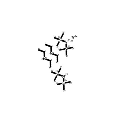 CC[N-]CC.CC[N-]CC.C[Si](C)(C)[N-][Si](C)(C)C.C[Si](C)(C)[N-][Si](C)(C)C.[Ti+4]